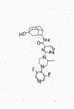 CC1CN(c2c(F)cncc2F)CCN1c1nccc(C(=O)NC2C3CC4CC2CC(O)(C4)C3)n1